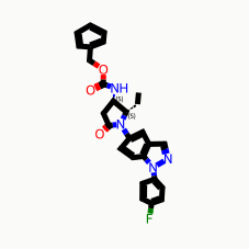 CC[C@H]1[C@@H](NC(=O)OCc2ccccc2)CC(=O)N1c1ccc2c(cnn2-c2ccc(F)cc2)c1